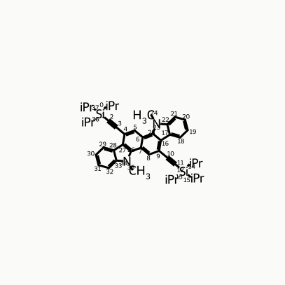 CC(C)[Si](C#Cc1cc2c(cc(C#C[Si](C(C)C)(C(C)C)C(C)C)c3c4ccccc4n(C)c23)c2c1c1ccccc1n2C)(C(C)C)C(C)C